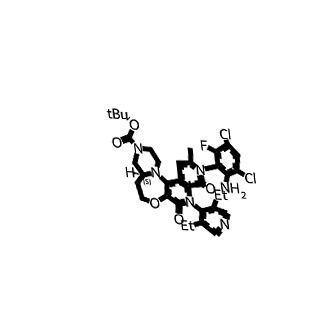 CCc1cncc(CC)c1-n1c(=O)c2c(c3cc(C)n(-c4c(N)c(Cl)cc(Cl)c4F)c(=O)c31)N1CCN(C(=O)OC(C)(C)C)C[C@@H]1CCO2